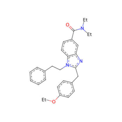 CCOc1ccc(Cc2nc3cc(C(=O)N(CC)CC)ccc3n2CCc2ccccc2)cc1